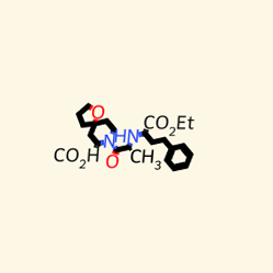 CCOC(=O)C(CCc1ccccc1)N[C@@H](C)C(=O)N1CCC2(CCCO2)CC1C(=O)O